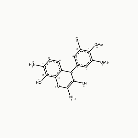 COc1cc(C2C(C#N)=C(N)Oc3c2ccc(N)c3O)cc(Br)c1OC